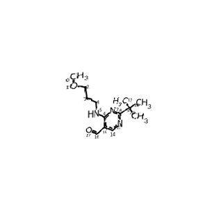 COCCCNc1nc(C(C)(C)C)ncc1C=O